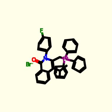 CC(C)c1c(C[P+](c2ccccc2)(c2ccccc2)c2ccccc2)n(-c2ccc(F)cc2)c(=O)c2ccccc12.[Br-]